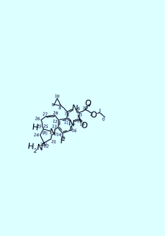 CCOC(=O)c1nc(C2CC2)c2c3c(c(F)cn2c1=O)N1C[C@@H](N)C[C@H]1CC=C3